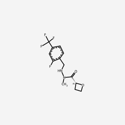 CN(NCc1ccc(C(F)(F)F)cc1F)C(=O)[C@H]1CCO1